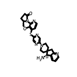 N[C@@H]1c2cccnc2CC12CCN(c1cnc(Sc3ccnc4c3OCC3CCC(=O)N43)cn1)CC2